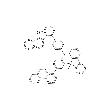 CC1(C)c2ccccc2-c2cccc(N(c3ccc(-c4cccc5c4ccc4ccccc45)cc3)c3ccc(-c4cccc5oc6c7ccccc7ccc6c45)cc3)c21